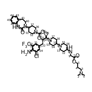 CN(C)CCCOC(=O)CNC1CCN(C2CCN(C(=O)[C@@H](Cc3cc(Cl)c(N)c(C(F)(F)F)c3)OC(=O)N3CCC(N4CCc5ccccc5NC4=O)CC3)CC2)CC1